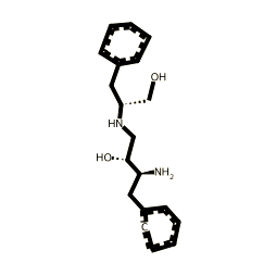 N[C@@H](Cc1ccccc1)[C@H](O)CN[C@@H](CO)Cc1ccccc1